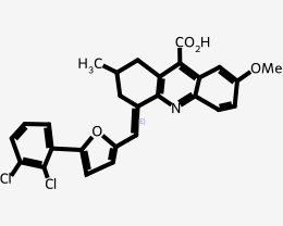 COc1ccc2nc3c(c(C(=O)O)c2c1)CC(C)C/C3=C\c1ccc(-c2cccc(Cl)c2Cl)o1